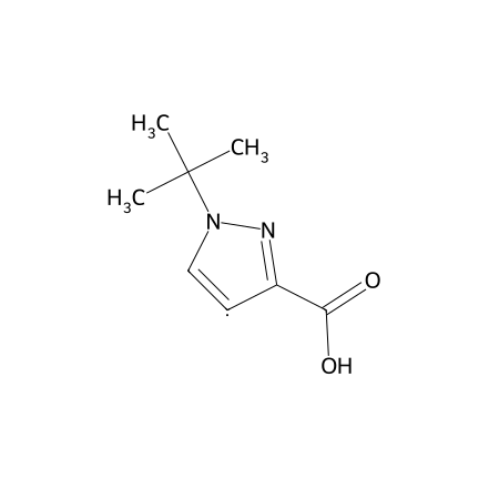 CC(C)(C)n1c[c]c(C(=O)O)n1